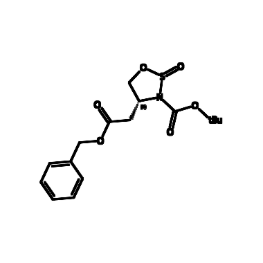 CC(C)(C)OC(=O)N1[C@H](CC(=O)OCc2ccccc2)COS1=O